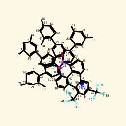 Cc1cc(C)cc(-c2ccc3c(c2)c2cc(-c4cc(C)cc(C)c4)ccc2n3-c2cccc(-c3ccc(C(F)(F)F)cc3C(F)(F)F)c2-c2c(C#N)cccc2-n2c3ccc(-c4ccc(C)cc4C)cc3c3cc(-c4ccc(C)cc4C)ccc32)c1